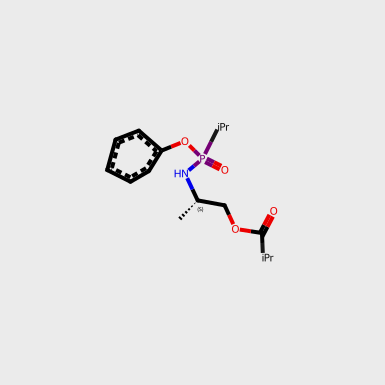 CC(C)C(=O)OC[C@H](C)NP(=O)(Oc1ccccc1)C(C)C